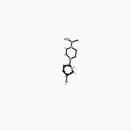 CB(O)N1CCN(c2ccc(Br)cn2)CC1